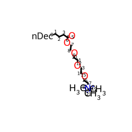 CCCCCCCCCCCCCC(=O)OCCOCCOCCOCC[N+](C)(C)C